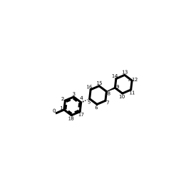 Cc1ccc([C@H]2CC[C@H](C3CC[CH]CC3)CC2)cc1